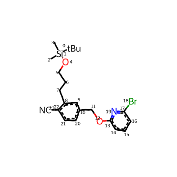 CC(C)(C)[Si](C)(C)OCCCc1cc(COc2cccc(Br)n2)ccc1C#N